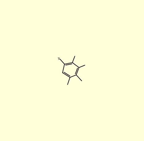 Cc1c[c]([Ti])c(C)c(C)c1C